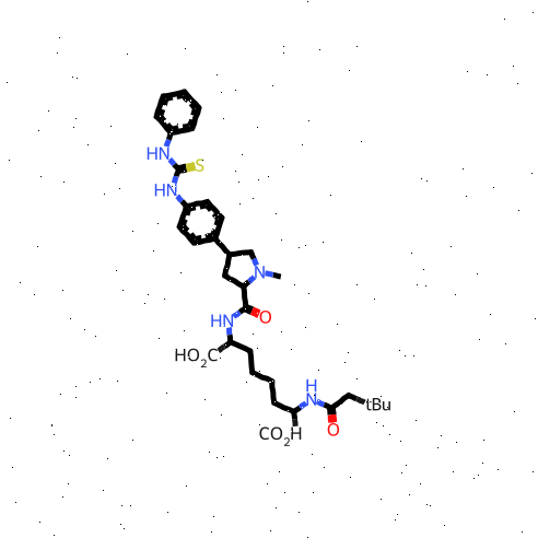 CN1CC(c2ccc(NC(=S)Nc3ccccc3)cc2)CC1C(=O)NC(CCCCC(NC(=O)CC(C)(C)C)C(=O)O)C(=O)O